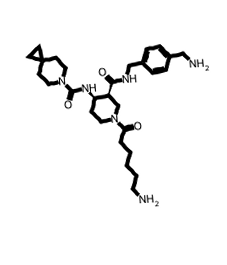 NCCCCCC(=O)N1CC[C@@H](NC(=O)N2CCC3(CC2)CC3)[C@@H](C(=O)NCc2ccc(CN)cc2)C1